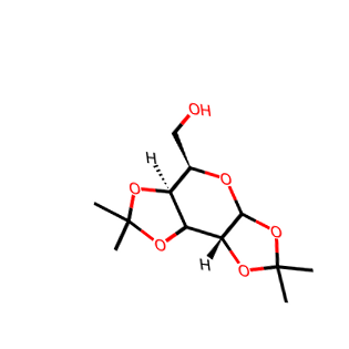 CC1(C)OC2O[C@H](CO)[C@@H]3OC(C)(C)OC3[C@H]2O1